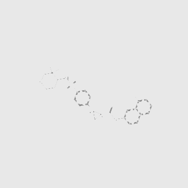 Cc1cccc2ccc(NC(=O)[C@@H]3C[C@H]3c3ccc(S(=O)(=O)NC4CCNCC4(F)F)cc3)cc12